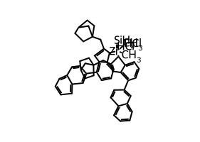 Cl.Cl.[CH3][Zr]([CH3])(=[SiH2])([CH]1C(CC23CCC(CC2)C3)=Cc2c(-c3ccc4ccccc4c3)cccc21)[CH]1C(CC23CCC(CC2)C3)=Cc2c(-c3ccc4ccccc4c3)cccc21